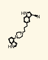 N#Cc1c[nH]c2ccc(CCCN3CCN(c4cccc5[nH]ccc45)CC3)cc12